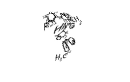 CCOC(=O)[C@H]1C[C@@H](NC(=O)C2(C)CC(c3cccc(F)c3)=NO2)CO1